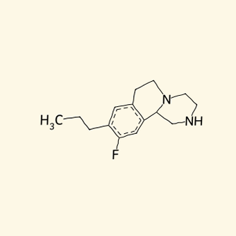 CCCc1cc2c(cc1F)C1CNCCN1CC2